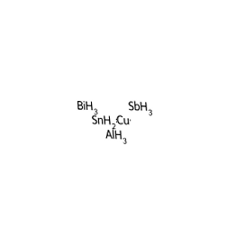 [AlH3].[BiH3].[Cu].[SbH3].[SnH2]